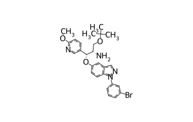 COc1ccc([C@@H](Oc2ccc3c(cnn3-c3cccc(Br)c3)c2)[C@@H](N)COC(C)(C)C)cn1